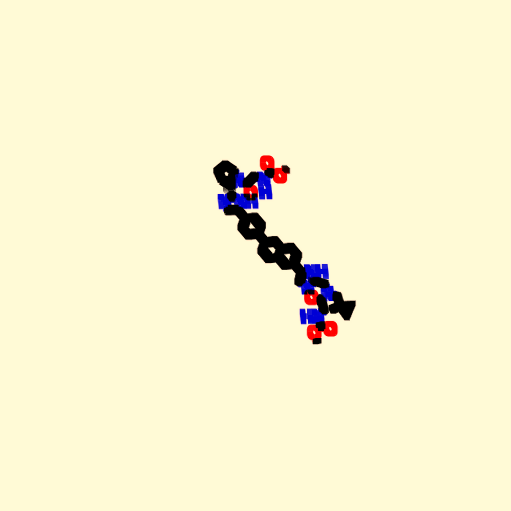 COC(=O)NCC(=O)N(Cc1ncc(-c2ccc3cc(-c4ccc(-c5cnc([C@@H]6C7CCC(C7)N6C(=O)CNC(=O)OC)[nH]5)cc4)ccc3c2)[nH]1)CC1(C)CC1